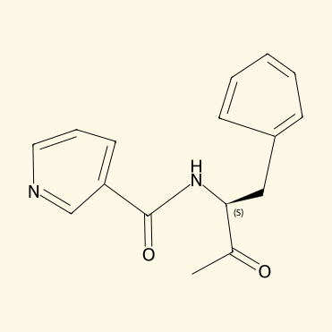 CC(=O)[C@H](Cc1ccccc1)NC(=O)c1cccnc1